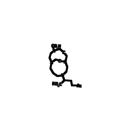 CC(=O)CCC(C(=O)O)N1CCCN2CCN(CCCN(C(=O)O)CC2)CC1